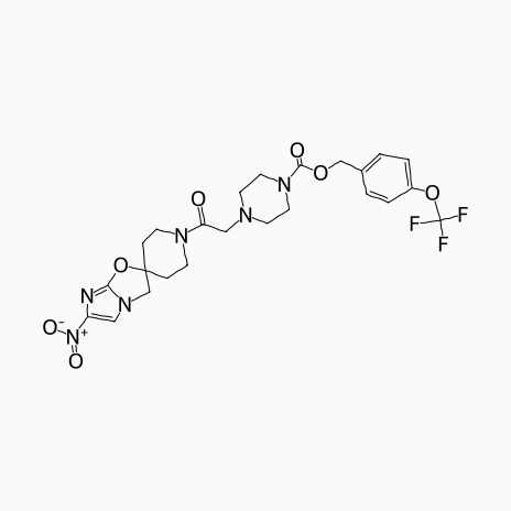 O=C(CN1CCN(C(=O)OCc2ccc(OC(F)(F)F)cc2)CC1)N1CCC2(CC1)Cn1cc([N+](=O)[O-])nc1O2